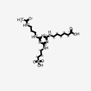 CC(=O)NCCCNc1nc(NCCCCCC(=O)O)nc(NCCCS(=O)(=O)O)n1